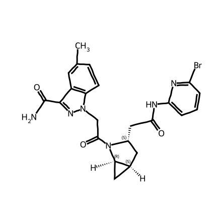 Cc1ccc2c(c1)c(C(N)=O)nn2CC(=O)N1[C@H](CC(=O)Nc2cccc(Br)n2)C[C@H]2C[C@H]21